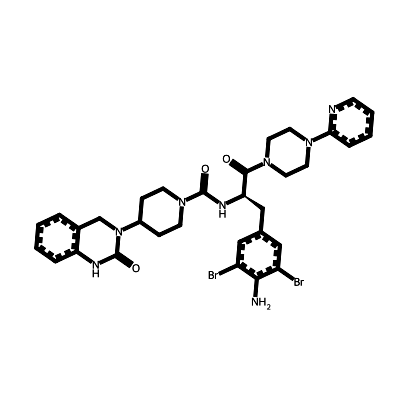 Nc1c(Br)cc(C[C@@H](NC(=O)N2CCC(N3Cc4ccccc4NC3=O)CC2)C(=O)N2CCN(c3ccccn3)CC2)cc1Br